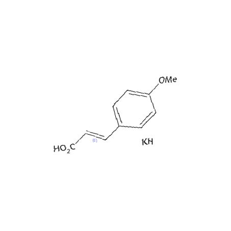 COc1ccc(/C=C/C(=O)O)cc1.[KH]